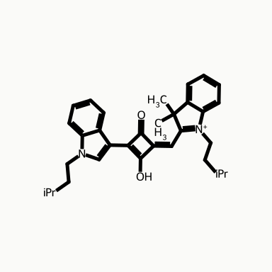 CC(C)CCn1cc(C2=C(O)/C(=C/C3=[N+](CCC(C)C)c4ccccc4C3(C)C)C2=O)c2ccccc21